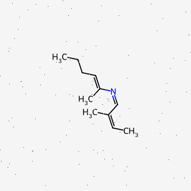 C\C=C(C)/C=N\C(C)=C\CCC